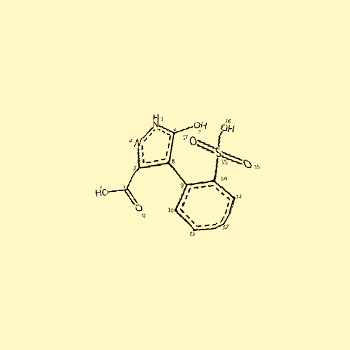 O=C(O)c1n[nH]c(O)c1-c1ccccc1S(=O)(=O)O